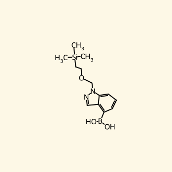 C[Si](C)(C)CCOCn1ncc2c(B(O)O)cccc21